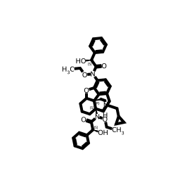 CCON(C(=O)[C@@H](O)c1ccccc1)c1ccc2c3c1OC1CCC[C@@]4(N(OCC)C(=O)[C@@H](O)c5ccccc5)[C@@H](C2)N(CC2CC2)CC[C@]314